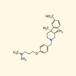 C[C@H]1CN(Cc2ccc(OCCCN(C)C)cc2)CC[C@@]1(C)c1cccc(C(=O)O)c1